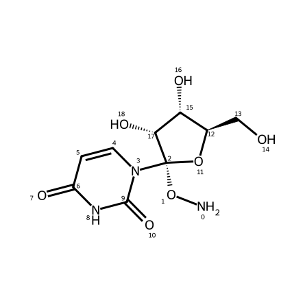 NO[C@@]1(n2ccc(=O)[nH]c2=O)O[C@H](CO)[C@@H](O)[C@H]1O